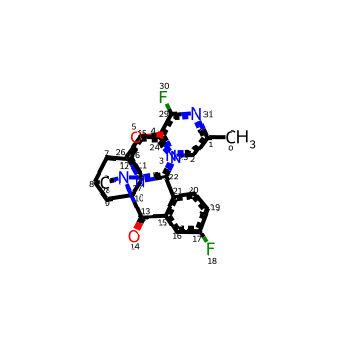 Cc1cnc(OC2CC3CCC2N(C(=O)c2cc(F)ccc2-c2ncccn2)C3)c(F)n1